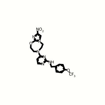 O=[N+]([O-])c1cn2c(n1)OCCN(c1ccnc(NCc3ccc(OC(F)(F)F)cc3)n1)CC2